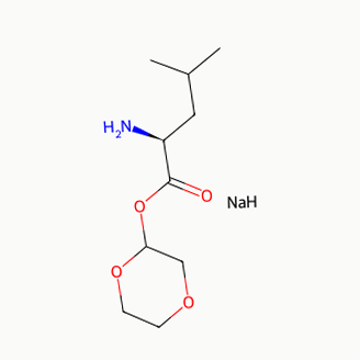 CC(C)C[C@H](N)C(=O)OC1COCCO1.[NaH]